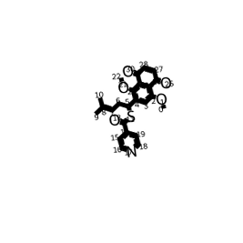 COc1cc(C(CC=C(C)C)SC(=O)c2ccncc2)c(OC)c2c1C(=O)C=CC2=O